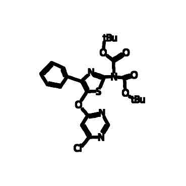 CC(C)(C)OC(=O)N(C(=O)OC(C)(C)C)c1nc(-c2ccccc2)c(Oc2cc(Cl)ncn2)s1